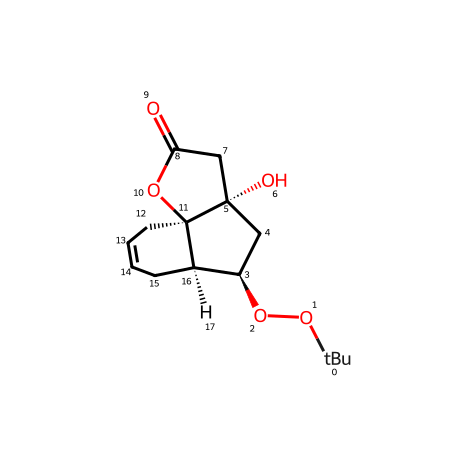 CC(C)(C)OO[C@@H]1C[C@]2(O)CC(=O)O[C@@]23CC=CC[C@H]13